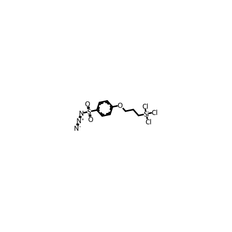 [N-]=[N+]=NS(=O)(=O)c1ccc(OCCC[Si](Cl)(Cl)Cl)cc1